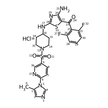 Cc1cncn1-c1ccc(S(=O)(=O)N2CCC(Nc3nc(N)c(C(=O)c4c(F)cccc4F)s3)CC2)cn1.Cl